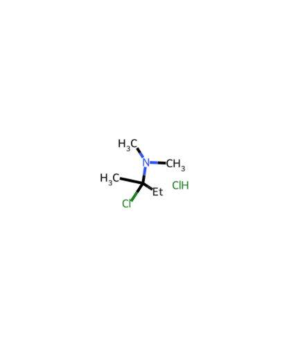 CCC(C)(Cl)N(C)C.Cl